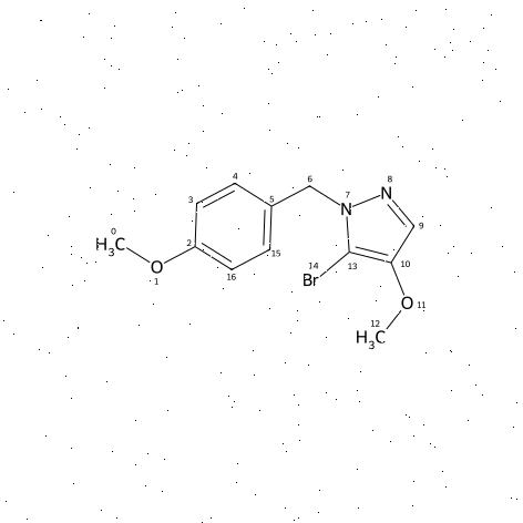 COc1ccc(Cn2ncc(OC)c2Br)cc1